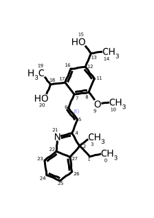 CCC1(C)C(/C=C/c2c(OC)cc(C(C)O)cc2C(C)O)=Nc2ccccc21